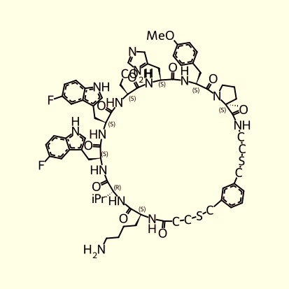 COc1ccc(C[C@@H]2NC(=O)[C@H](CC3=NC=NC3)NC(=O)[C@H](CC(=O)O)NC(=O)[C@H](Cc3c[nH]c4ccc(F)cc34)NC(=O)[C@H](Cc3c[nH]c4ccc(F)cc34)NC(=O)[C@@H](C(C)C)NC(=O)[C@H](CCCCN)NC(=O)CCSCc3cccc(c3)CSCCNC(=O)[C@]3(C)CCCN3C2=O)cc1